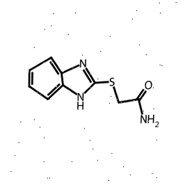 NC(=O)CSc1nc2ccccc2[nH]1